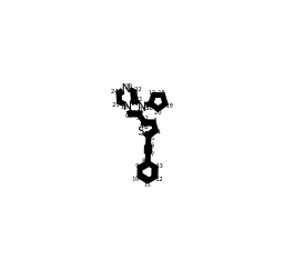 [C]1=C(c2ccc(C#Cc3ccccc3)s2)N(C2CCCC2)C2=CN=CCN12